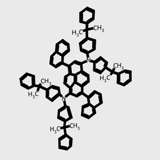 CC(C)(c1ccccc1)c1ccc(N(c2ccc(C(C)(C)c3ccccc3)cc2)c2cc(-c3cccc4ccccc34)c3ccc4c(N(c5ccc(C(C)(C)c6ccccc6)cc5)c5ccc(C(C)(C)c6ccccc6)cc5)cc(-c5cccc6ccccc56)c5ccc2c3c54)cc1